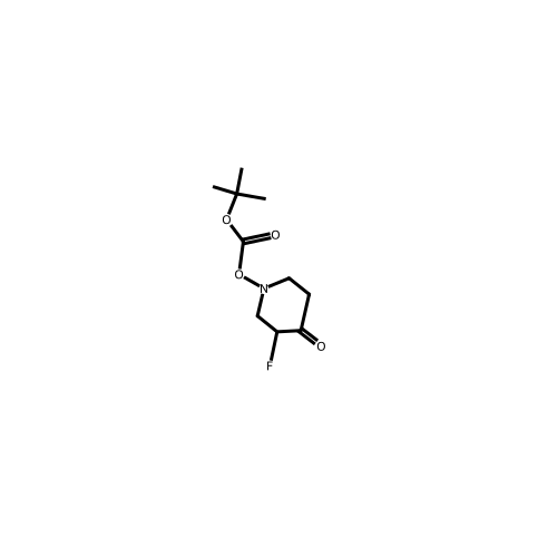 CC(C)(C)OC(=O)ON1CCC(=O)C(F)C1